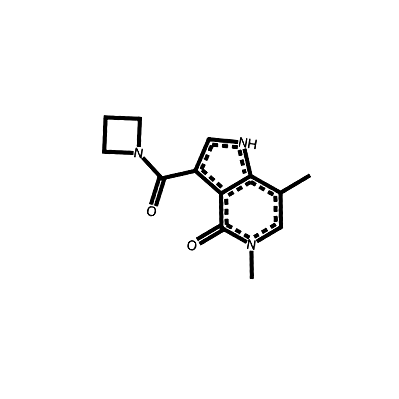 Cc1cn(C)c(=O)c2c(C(=O)N3CCC3)c[nH]c12